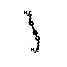 CCCCCC[C@H]1CC[C@H](C23CCC(C#Cc4ccc(CCCCC)cc4)(CC2)CC3)CC1